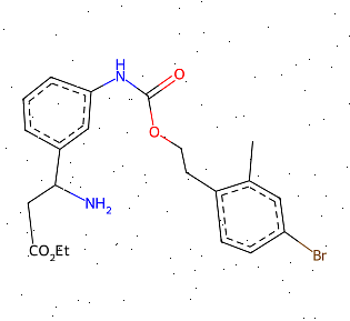 CCOC(=O)CC(N)c1cccc(NC(=O)OCCc2ccc(Br)cc2C)c1